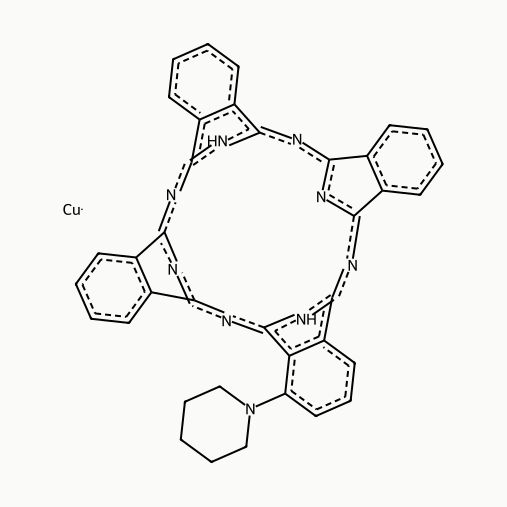 [Cu].c1ccc2c(c1)-c1nc-2nc2[nH]c(nc3nc(nc4[nH]c(n1)c1ccccc41)-c1ccccc1-3)c1c(N3CCCCC3)cccc21